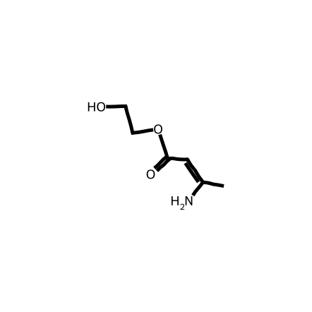 CC(N)=CC(=O)OCCO